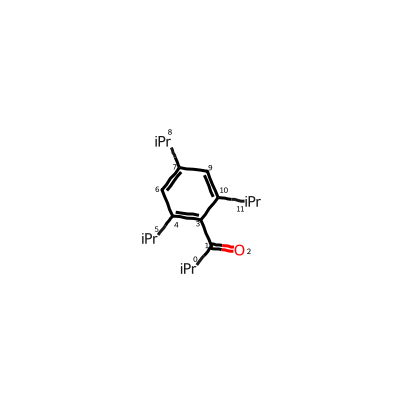 CC(C)C(=O)c1c(C(C)C)cc(C(C)C)cc1C(C)C